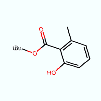 Cc1cccc(O)c1C(=O)OC(C)(C)C